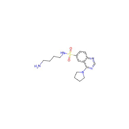 NCCCCNS(=O)(=O)c1ccc2ncnc(N3CCCC3)c2c1